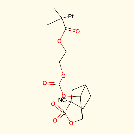 CCC(C)(C)C(=O)OCCOC(=O)OC1C2CC3C1OS(=O)(=O)C3(C#N)C2